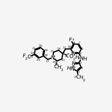 Cc1cc(Nc2ccc(F)c(C[C@@]3(C(=O)O)CCN(Cc4cccc(C(F)(F)F)c4)[C@H](C)C3)n2)n[nH]1